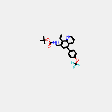 C=Cc1c(CNC(=O)OC(C)(C)C)cc(-c2ccc(OC(F)(F)F)cc2)c2cccnc12